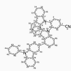 N#Cc1ccc(-n2c3ccccc3c3ccccc32)c(-n2c3ccccc3c3c(-c4ccc5c(c4)c4ccccc4n5-c4ccccc4)cccc32)c1